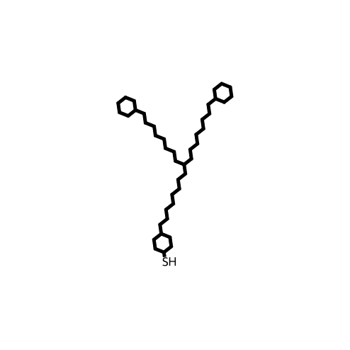 SC1CCC(CCCCCCCCC(CCCCCCCCC2CCCCC2)CCCCCCCCC2CCCCC2)CC1